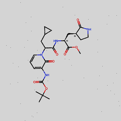 COC(=O)[C@H](C[C@@H]1CCNC1=O)NC(=O)C(CC1CC1)n1cccc(NC(=O)OC(C)(C)C)c1=O